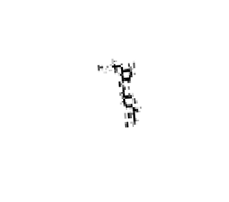 CC(C)CNC(=O)c1ccc(CCOc2ccc(Cl)c(CC(C)(F)F)c2)cn1